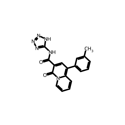 Cc1cccc(-c2cc(C(=O)Nc3nnn[nH]3)c(=O)n3ccccc23)c1